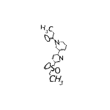 CCC(=O)N1CCC=C(c2ccc(S(=O)(=O)CC)cn2)C1